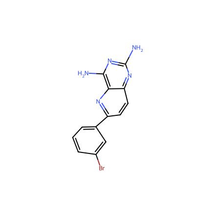 Nc1nc(N)c2nc(-c3cccc(Br)c3)ccc2n1